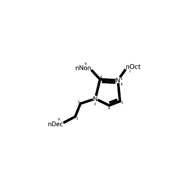 CCCCCCCCCCCCn1cc[n+](CCCCCCCC)c1CCCCCCCCC